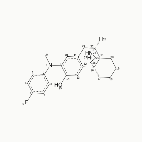 CN(c1ccc(F)cc1)c1cc2c(cc1O)[C@]13CCCC[C@@H]1[C@H](C2)NCC3